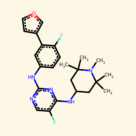 CN1C(C)(C)CC(Nc2nc(Nc3ccc(F)c(-c4ccoc4)c3)ncc2F)CC1(C)C